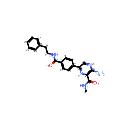 CNC(=O)c1nc(-c2ccc(C(=O)NCCc3ccccc3)cc2)cnc1N